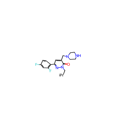 CC(C)Cn1nc(-c2ccc(F)cc2F)cc(CN2CCNCC2)c1=O